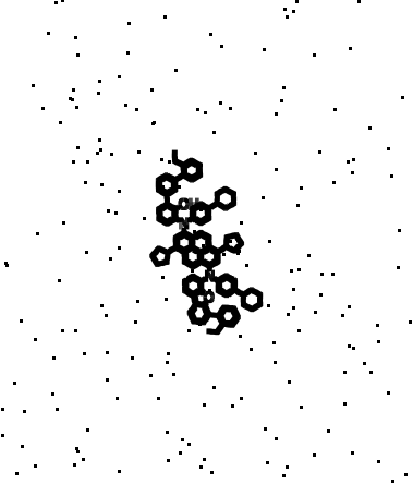 CCc1ccccc1-c1cccc(-c2cccc(N(c3ccc(C4CCCCC4)cc3)c3cc(C4CCCC4)c4ccc5c(N(c6ccc(C7CCCCC7)cc6)c6cccc7c6oc6c(-c8ccccc8CC)cccc67)cc(C6CCCC6)c6ccc3c4c65)c2O)c1